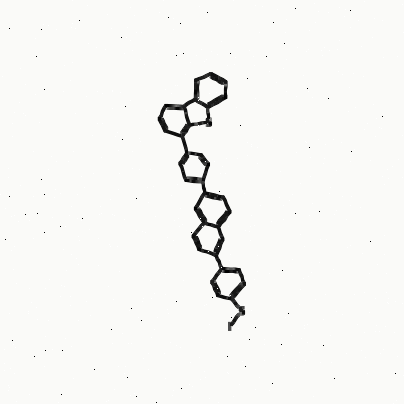 ISc1ccc(-c2ccc3cc(-c4ccc(-c5cccc6c5sc5ccccc56)cc4)ccc3c2)cc1